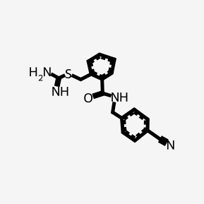 N#Cc1ccc(CNC(=O)c2ccccc2CSC(=N)N)cc1